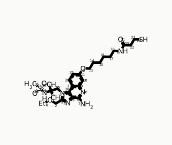 CCOCc1nc2c(N)nc3cc(OCCCCCCNC(=O)CCS)ccc3c2n1CC(C)(C)NS(C)(=O)=O